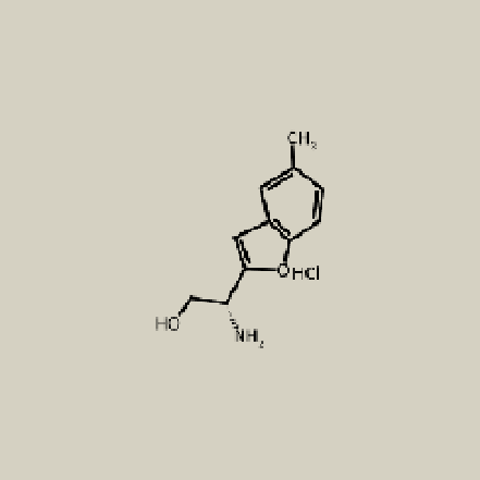 Cc1ccc2oc([C@H](N)CO)cc2c1.Cl